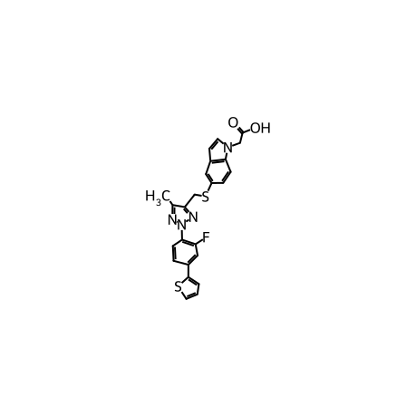 Cc1nn(-c2ccc(-c3cccs3)cc2F)nc1CSc1ccc2c(ccn2CC(=O)O)c1